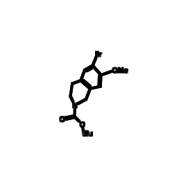 COc1cc2c(cc1Br)CCN(C(=O)OC(C)(C)C)C2